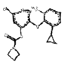 Cc1cccc(C2CC2)c1Oc1nnc(Cl)cc1OC(=O)N1CCC1